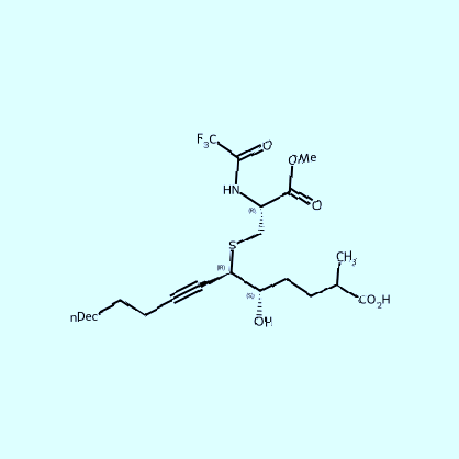 CCCCCCCCCCCCC#C[C@@H](SC[C@H](NC(=O)C(F)(F)F)C(=O)OC)[C@@H](O)CCC(C)C(=O)O